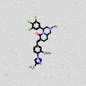 CCCN1CC2CC/C(=C\c3ccc(-n4cnc(C)c4)c(OC)c3)C(=O)N2C(c2cc(F)c(F)c(F)c2)C1